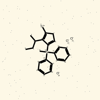 CCC(C)C1=[C]([Ti+3])CC=C1[Si](C)(c1ccccc1)c1ccccc1.[Cl-].[Cl-].[Cl-]